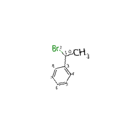 CC(Br)c1cc[c]cc1